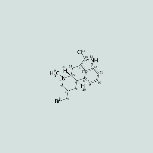 CN1CC(CBr)C[C@@H]2c3cccc4[nH]c(Cl)c(c34)C[C@H]21